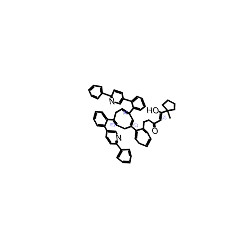 CC1(/C(O)=C/C(=O)CCC2=CC=CCC=C2/C2=C/C(c3ccccc3-c3ccc(-c4ccccc4)nc3)=C\C/C(c3ccccc3-c3ccc(-c4ccccc4)nc3)=C\C2)CCCC1